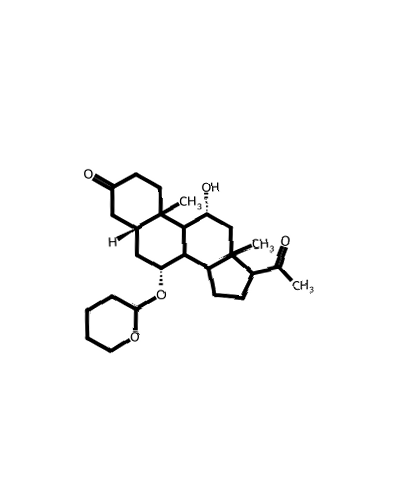 CC(=O)C1CCC2C3C([C@H](O)CC12C)C1(C)CCC(=O)C[C@H]1C[C@H]3OC1CCCCO1